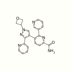 NC(=O)c1ccc(-c2cn(C3COC3)nc2-c2ccccn2)c(-c2cccnc2)n1